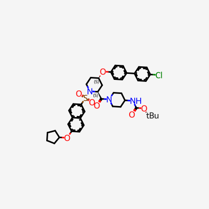 CC(C)(C)OC(=O)NC1CCN(C(=O)[C@@H]2C[C@@H](Oc3ccc(-c4ccc(Cl)cc4)cc3)CCN2S(=O)(=O)c2ccc3cc(OC4CCCC4)ccc3c2)CC1